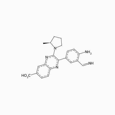 C[C@H]1CCCN1c1nc2cc(C(=O)O)ccc2nc1-c1ccc(N)c(C=N)c1